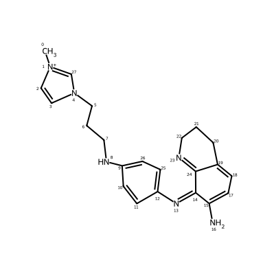 C[n+]1ccn(CCCNc2ccc(N=C3C(N)=CC=C4CCCN=C43)cc2)c1